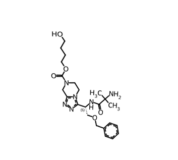 CC(C)(N)C(=O)N[C@H](COCc1ccccc1)c1nnc2n1CCN(C(=O)OCCCCO)C2